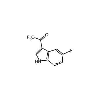 O=C(c1c[nH]c2ccc(F)cc12)C(F)(F)F